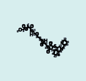 COCC(=O)OC(C)C(=O)NCCOCCCNC(=O)CCN1C(=O)CC(SCCN(Cc2ccccn2)Cc2ccccn2)C1=O